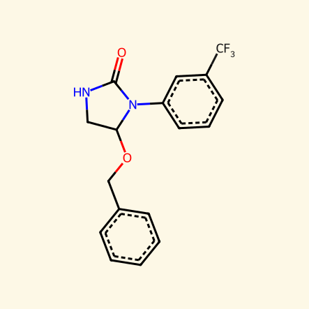 O=C1NCC(OCc2ccccc2)N1c1cccc(C(F)(F)F)c1